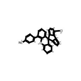 N#Cc1ccc(-c2cccc3c2Oc2ccccc2C32c3ccccc3-c3c(Cl)cccc32)cc1